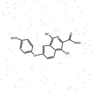 CNC(=O)c1nc(C#N)c2cc(Oc3ccc(OC)cc3)ccc2c1O